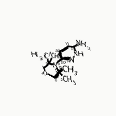 CC1(C)COCC(C)(C)N1C1=NN[C](N)C=C1